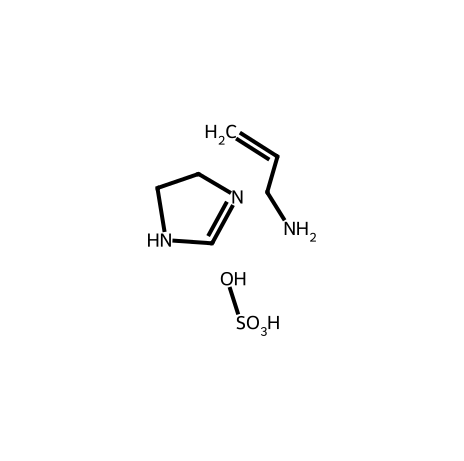 C1=NCCN1.C=CCN.O=S(=O)(O)O